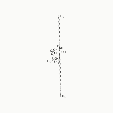 CCCCCCCCCCCCCCCCCCCCOCC(O)CNC(=O)CCCCCCCCCCCCCCC.C[N+](C)(C)CCOP(=O)(O)O